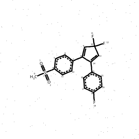 CS(=O)(=O)c1ccc(C2=CC(F)(F)C=C2c2ccc(F)cc2)cc1